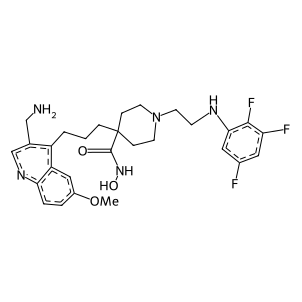 COc1ccc2ncc(CN)c(CCCC3(C(=O)NO)CCN(CCNc4cc(F)cc(F)c4F)CC3)c2c1